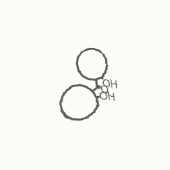 O=C(C1CCCCCCCCCCCCCC1O)C1CCCCCCCCCCCCCC1O